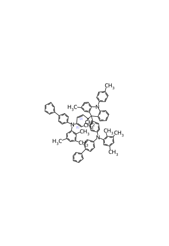 C=C(/C=C\C(=C/C)N(c1ccc(-c2ccccc2)cc1)c1cc(C)cc(C)c1C)C1(c2ccc(N(c3ccc(-c4ccccc4)cc3)c3cc(C)cc(C)c3C)cc2)c2ccccc2N(c2ccc(C)cc2)c2ccc(C)cc21